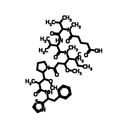 CCC(C)C(C(CC(=O)N1CCCC1C(OC)C(C)C(=O)NC(Cc1ccccc1)c1nccs1)OC)N(C)C(=O)C(NC(=O)C(C(C)C)N(C)C(=O)CCCC(=O)O)C(C)C